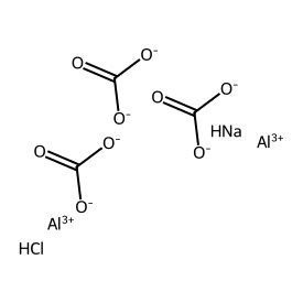 Cl.O=C([O-])[O-].O=C([O-])[O-].O=C([O-])[O-].[Al+3].[Al+3].[NaH]